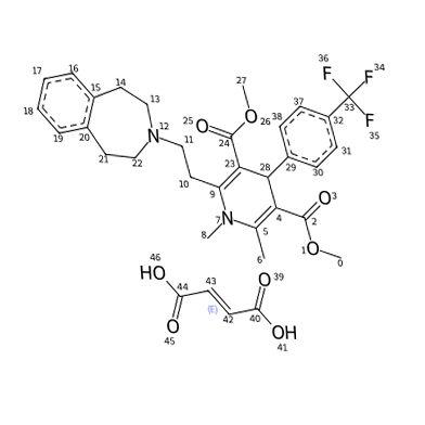 COC(=O)C1=C(C)N(C)C(CCN2CCc3ccccc3CC2)=C(C(=O)OC)C1c1ccc(C(F)(F)F)cc1.O=C(O)/C=C/C(=O)O